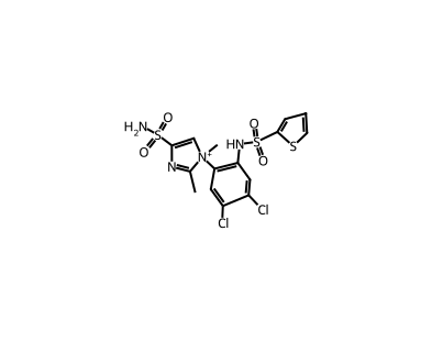 CC1=NC(S(N)(=O)=O)=C[N+]1(C)c1cc(Cl)c(Cl)cc1NS(=O)(=O)c1cccs1